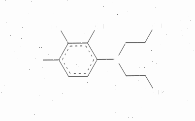 CCCP(CCC)c1ccc(C)c(C)c1C